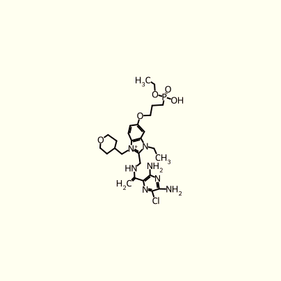 C=C(NCc1n(CC)c2cc(OCCCP(=O)(O)OCC)ccc2[n+]1CC1CCOCC1)c1nc(Cl)c(N)nc1N